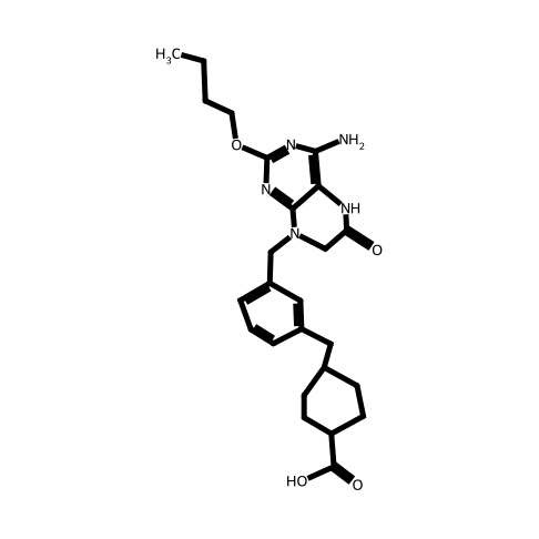 CCCCOc1nc(N)c2c(n1)N(Cc1cccc(CC3CCC(C(=O)O)CC3)c1)CC(=O)N2